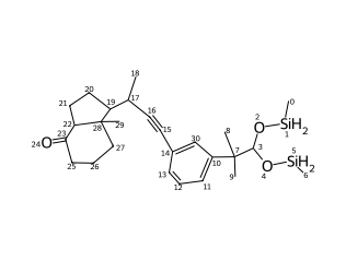 C[SiH2]OC(O[SiH2]C)C(C)(C)c1cccc(C#CC(C)C2CCC3C(=O)CCCC32C)c1